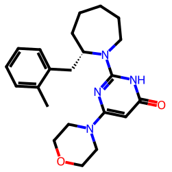 Cc1ccccc1C[C@@H]1CCCCCN1c1nc(N2CCOCC2)cc(=O)[nH]1